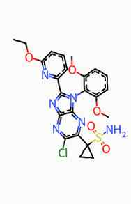 CCOc1cccc(-c2nc3nc(Cl)c(C4(S(N)(=O)=O)CC4)nc3n2-c2c(OC)cccc2OC)n1